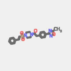 Cc1nc(-c2ccc(CC(=O)N3CCN(S(=O)(=O)C=Cc4ccccc4)CC3)cc2)no1